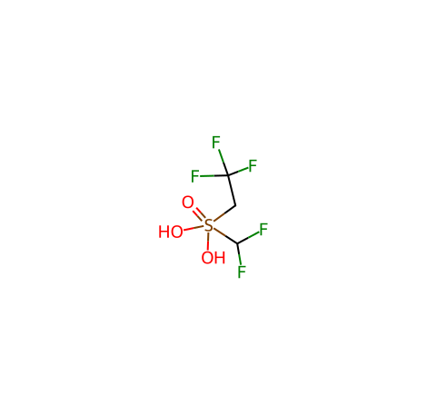 O=S(O)(O)(CC(F)(F)F)C(F)F